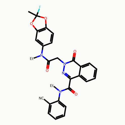 CCN(C(=O)Cn1nc(C(=O)N(CC)c2ccccc2C#N)c2ccccc2c1=O)c1ccc2c(c1)OC(C)(F)O2